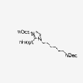 CCCCCCCCCCCCCCCCn1cc[n+](CCCCCCCC)c1CCCCCCC